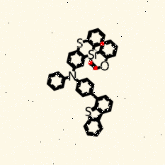 c1ccc(N(c2ccc(-c3cccc4c3sc3ccccc34)cc2)c2ccc3c(c2)[Si]2(c4ccccc4Oc4ccccc42)c2ccccc2S3)cc1